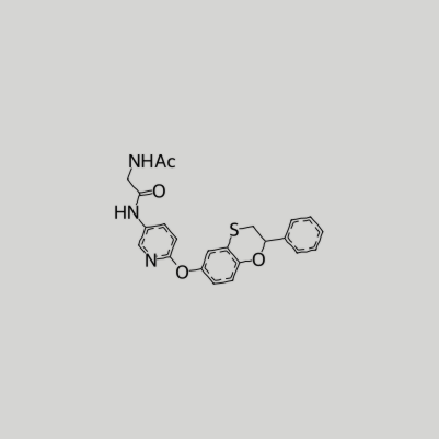 CC(=O)NCC(=O)Nc1ccc(Oc2ccc3c(c2)SCC(c2ccccc2)O3)nc1